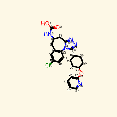 O=C(O)NC1Cc2cc(Cl)ccc2-n2c(nnc2[C@H]2CC[C@H](Oc3ccccn3)CC2)C1